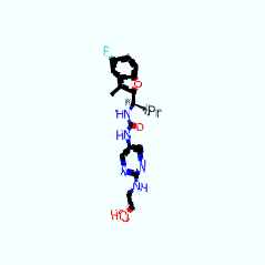 Cc1c([C@H](NC(=O)Nc2cnc(NCCO)nc2)C(C)C)oc2ccc(F)cc12